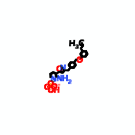 CCCc1cccc(OCc2ccc(Cc3cc(-c4ccc[n+](COP(=O)([O-])O)c4N)on3)cc2)c1